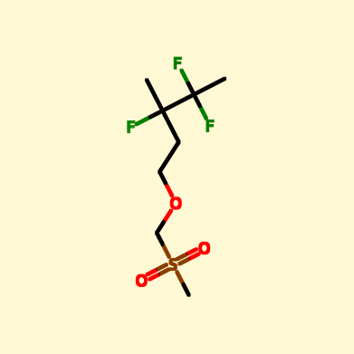 CC(F)(F)C(C)(F)CCOCS(C)(=O)=O